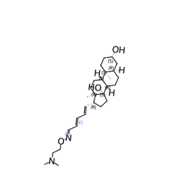 CN(C)CCO/N=C/C=C/C=C[C@H]1CC[C@]2(O)[C@@H]3CC[C@@H]4C[C@@H](O)CC[C@]4(C)[C@H]3CC[C@]12C